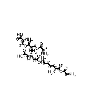 C[C@H](N)C(=O)O.C[C@H](N)C(=O)OC[C@H](N)C(=O)O[C@H](C)[C@H](N)C(=O)O.NCC(=O)O.NCCCC[C@H](N)C(=O)OC(=O)CN